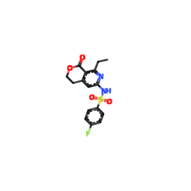 CCc1nc(NS(=O)(=O)c2ccc(F)cc2)cc2c1C(=O)OCC2